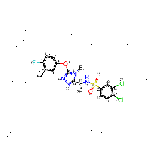 CCn1c(Oc2ccc(F)c(C)c2)nnc1[C@@H](C)NS(=O)(=O)c1ccc(Cl)c(Cl)c1